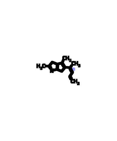 C=C/C=C(/C)C1=C(C)C2=C(C1)N=C(C)C2